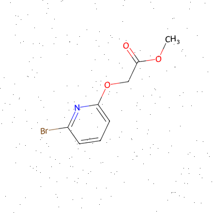 COC(=O)COc1cccc(Br)n1